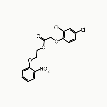 O=C(COc1ccc(Cl)cc1Cl)OCCOc1ccccc1[N+](=O)[O-]